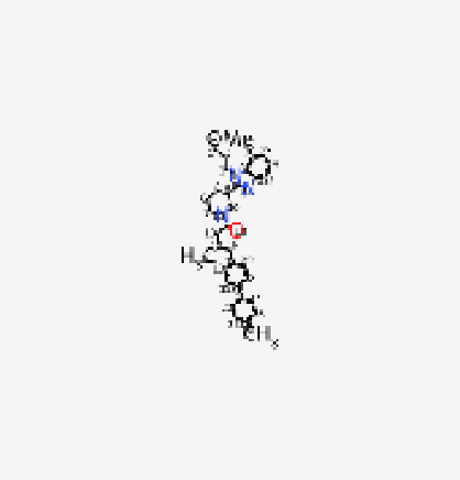 COCCCn1c([C@@H]2CCCN(C(=O)C[C@H](C)Cc3ccc(-c4ccc(C)cc4)cc3)C2)nc2ccccc21